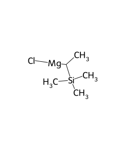 C[CH]([Mg][Cl])[Si](C)(C)C